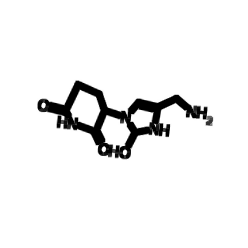 NCC1=CN(C2CCC(=O)NC2=O)C(O)N1